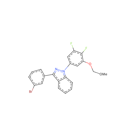 COCOc1cc(-n2nc(-c3cccc(Br)c3)c3ccccc32)cc(F)c1F